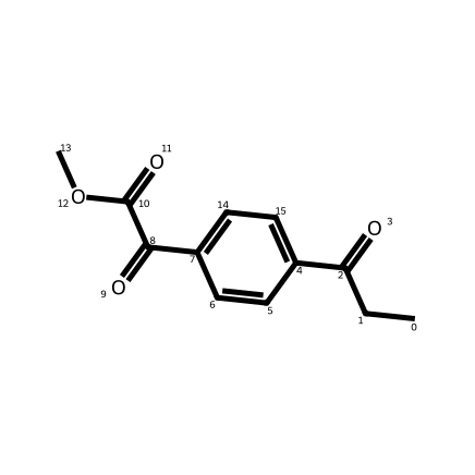 CCC(=O)c1ccc(C(=O)C(=O)OC)cc1